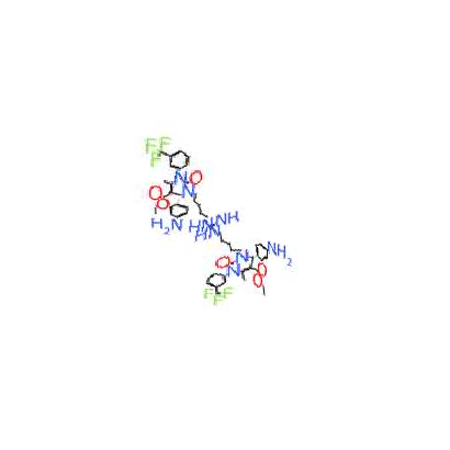 CCOC(=O)C1=C(C)N(c2cccc(C(F)(F)F)c2)C(=O)N(CCCCCNC(=N)NCCCCCN2C(=O)N(c3cccc(C(F)(F)F)c3)C(C)=C(C(=O)OCC)[C@H]2c2ccc(N)cc2)[C@@H]1c1ccc(N)cc1